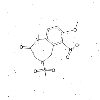 COc1ccc2c(c1[N+](=O)[O-])CN(S(C)(=O)=O)CC(=O)N2